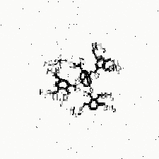 BCc1cc(CB)c(CB)c(C(=O)CC23CC4(OC(=O)c5cc(CB)cc(CB)c5CB)CC(OC(=O)c5c(CB)ccc(CB)c5CB)(C2)CC(C(=O)OCC(F)(F)S(=O)(=O)O)(C3)C4)c1